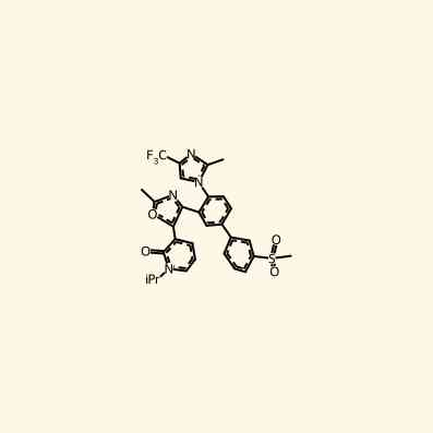 Cc1nc(-c2cc(-c3cccc(S(C)(=O)=O)c3)ccc2-n2cc(C(F)(F)F)nc2C)c(-c2cccn(C(C)C)c2=O)o1